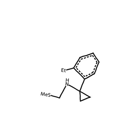 CCc1ccccc1C1(NCSC)CC1